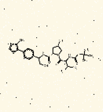 Cc1ncsc1-c1ccc(C(CO)NC(=O)[C@@H]2C[C@@H](O)CN2C(=O)C(NC(=O)OC(C)(C)C)C(C)C)cc1